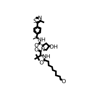 Cc1ncsc1-c1ccc([C@H](C)NC(=O)[C@@H]2C[C@@H](O)CN2C(=O)[C@@H](NC(=O)CCCCCCCC=O)C(C)(C)C)cc1